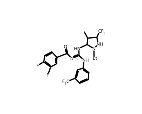 CCN1NC(C(F)(F)F)C(C)C1N/C(=N\C(=O)c1ccc(F)c(F)c1)Nc1cccc(C(F)(F)F)c1